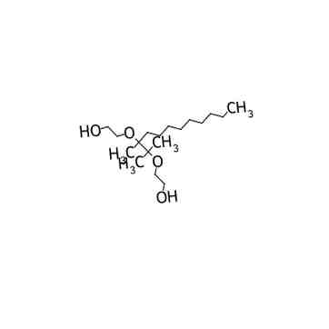 CCCCCCCCCC(C)(OCCO)C(C)(C)OCCO